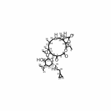 CC[C@H]1OC(=O)CC(=O)[C@H](C)[C@@H](O[C@@H]2O[C@H](CNCC3CC3)CC(N(C)C)[C@H]2O)[C@](C)(OC)C[C@@H](C)CN[C@H](C)[C@H]2NC(=O)O[C@@]21C